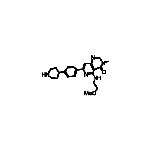 COCCNc1nc(-c2ccc(C3CCNCC3)cc2)cc2ncn(C)c(=O)c12